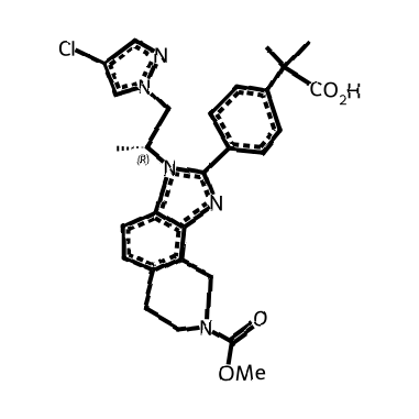 COC(=O)N1CCc2ccc3c(nc(-c4ccc(C(C)(C)C(=O)O)cc4)n3[C@H](C)Cn3cc(Cl)cn3)c2C1